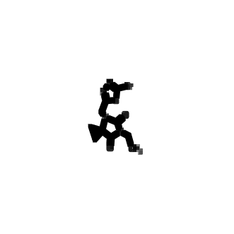 CCN1C(=O)N(Cc2nnc(Br)s2)C2(CC2)C1=O